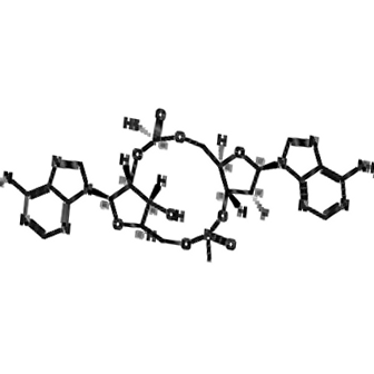 CP1(=O)OC[C@H]2O[C@@H](n3cnc4c(N)ncnc43)[C@H](O[P@](=O)(S)OC[C@H]3O[C@@H](n4cnc5c(N)ncnc54)[C@H](F)[C@@H]3O1)[C@@H]2O